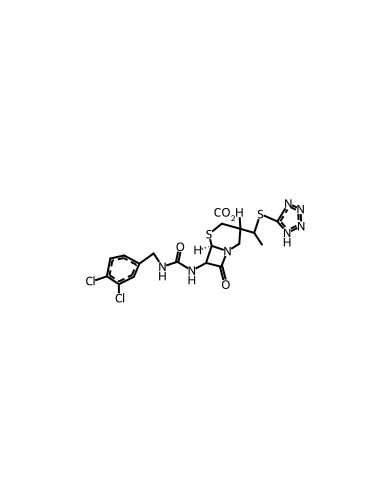 CC(Sc1nnn[nH]1)C1(C(=O)O)CS[C@@H]2C(NC(=O)NCc3ccc(Cl)c(Cl)c3)C(=O)N2C1